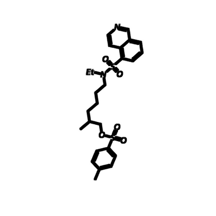 CCN(CCCCC(C)COS(=O)(=O)c1ccc(C)cc1)S(=O)(=O)c1cccc2cnccc12